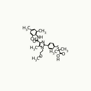 COCCn1c(-c2ccc(SC(C)(C)C(=O)O)cc2)nc(C(=O)Nc2c(C)cc(C)cc2C)c1C